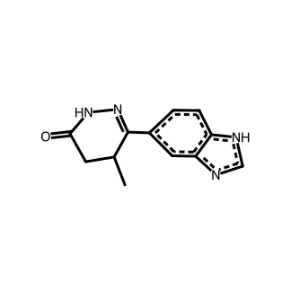 CC1CC(=O)NN=C1c1ccc2[nH]cnc2c1